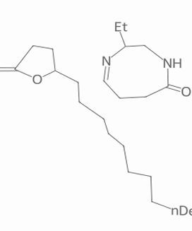 CCC1CNC(=O)CCC=N1.CCCCCCCCCCCCCCCCCCC1CCC(=O)O1